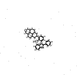 Oc1c(C2CC3CCC4COCC5CCC(C2)C3C45)cccc1-n1c(-c2ccccc2)nc2ccccc21